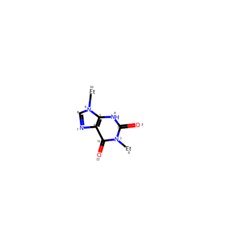 CCn1c(=O)[nH]c2c(ncn2CC)c1=O